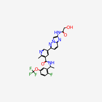 Cc1ncc(-c2ccc3nc(NC(=O)CO)cn3n2)cc1C(=O)NC(C)c1cc(OC(F)(F)F)ccc1F